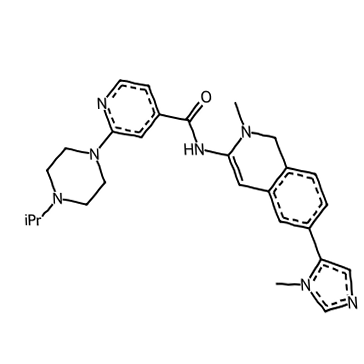 CC(C)N1CCN(c2cc(C(=O)NC3=Cc4cc(-c5cncn5C)ccc4CN3C)ccn2)CC1